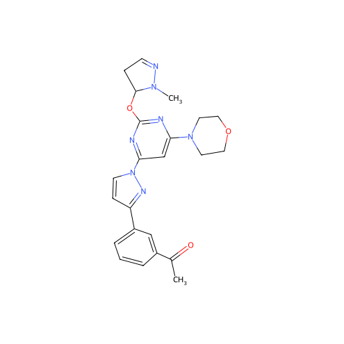 CC(=O)c1cccc(-c2ccn(-c3cc(N4CCOCC4)nc(OC4CC=NN4C)n3)n2)c1